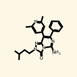 Cc1cc(-c2c(-c3ccccc3)nc(N)n3c(=O)n(CCC(C)C)nc23)cc(C)n1